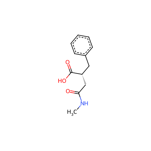 CNC(=O)C[C@@H](Cc1ccccc1)C(=O)O